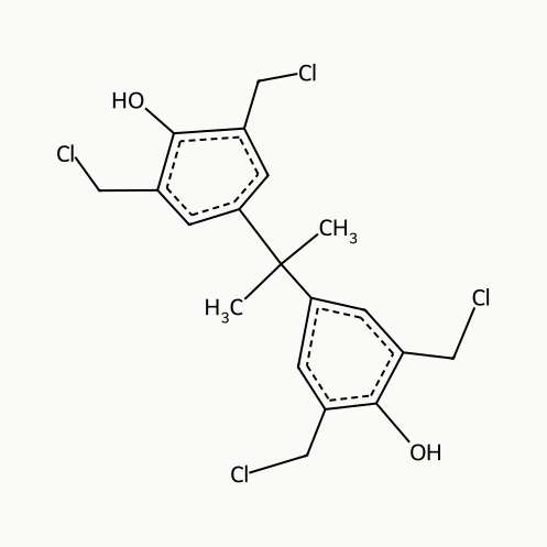 CC(C)(c1cc(CCl)c(O)c(CCl)c1)c1cc(CCl)c(O)c(CCl)c1